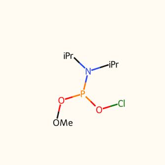 COOP(OCl)N(C(C)C)C(C)C